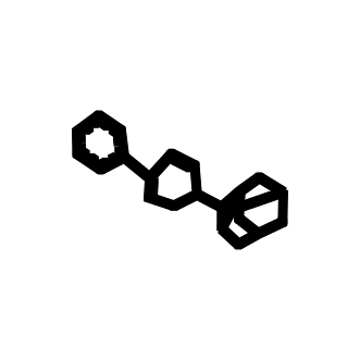 C1=CC(C2C3CC4CC(C3)CC2C4)CC=C1c1ccccc1